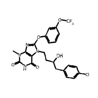 Cn1c(=O)[nH]c(=O)c2c1nc(Oc1cccc(OC(F)(F)F)c1)n2CCC(O)Cc1ccc(Cl)cc1